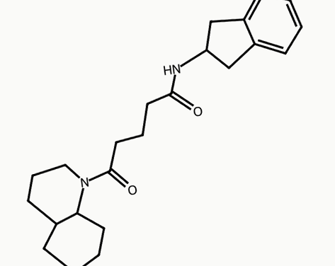 O=C(CCCC(=O)N1CCCC2CCCCC21)NC1Cc2ccccc2C1